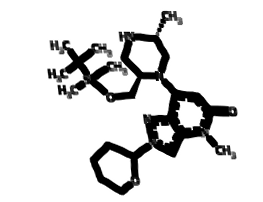 C[C@@H]1CN(c2cc(=O)n(C)c3cn(C4CCCCO4)nc23)[C@@H](CO[Si](C)(C)C(C)(C)C)CN1